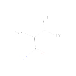 C[C](C(C)C)C(C)C(N)=O